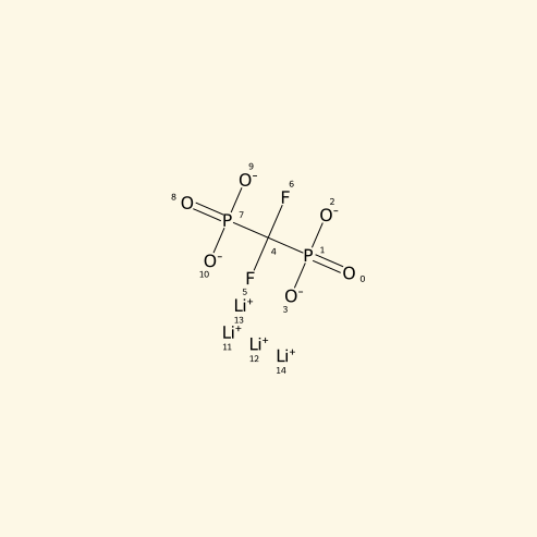 O=P([O-])([O-])C(F)(F)P(=O)([O-])[O-].[Li+].[Li+].[Li+].[Li+]